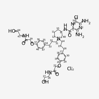 Nc1nc(N)c(C(=O)N[C@H]2CCC[N+](CCCc3ccc(OCC(=O)NCCO)cc3)(CCCc3ccc(OCC(=O)NCCO)cc3)C2)nc1Cl.[Cl-]